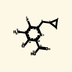 Nc1c(F)c(CC2CC2)nc(C(=O)O)c1Cl